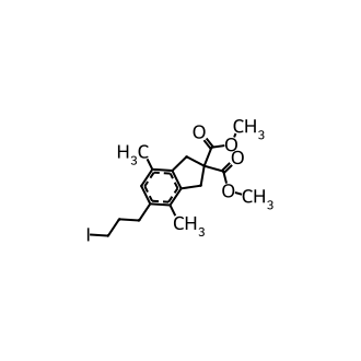 COC(=O)C1(C(=O)OC)Cc2c(C)cc(CCCI)c(C)c2C1